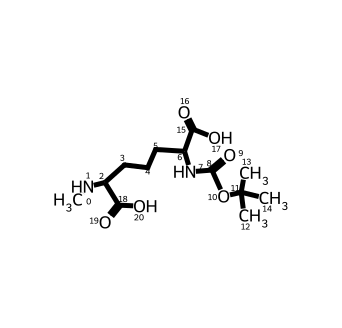 CNC(CCCC(NC(=O)OC(C)(C)C)C(=O)O)C(=O)O